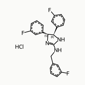 Cl.Fc1cccc(CNC2=N[C@@H](c3cccc(F)c3)[C@@H](c3cccc(F)c3)N2)c1